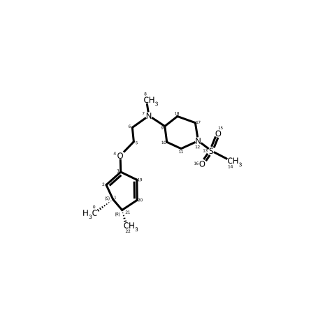 C[C@@H]1C=C(OCCN(C)C2CCN(S(C)(=O)=O)CC2)C=C[C@@H]1C